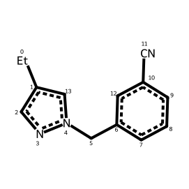 CCc1cnn(Cc2cccc(C#N)c2)c1